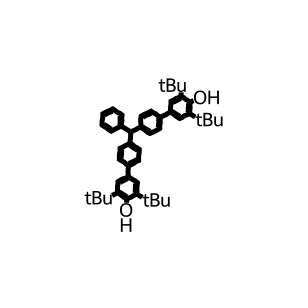 CC(C)(C)c1cc(-c2ccc(C(c3ccccc3)c3ccc(-c4cc(C(C)(C)C)c(O)c(C(C)(C)C)c4)cc3)cc2)cc(C(C)(C)C)c1O